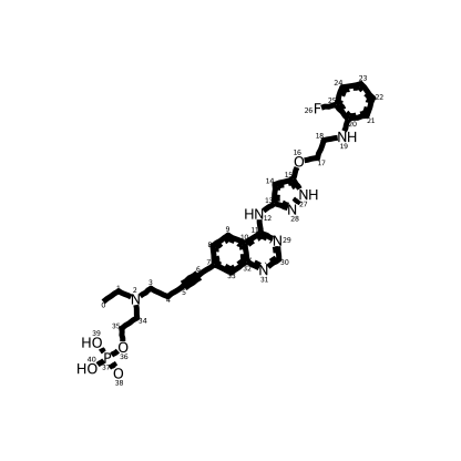 CCN(CCC#Cc1ccc2c(Nc3cc(OCCNc4ccccc4F)[nH]n3)ncnc2c1)CCOP(=O)(O)O